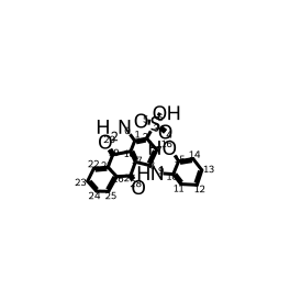 Nc1c(S(=O)(=O)O)cc(Nc2ccccc2O)c2c1C(=O)c1ccccc1C2=O